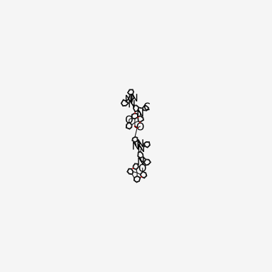 c1ccc2c(c1)Oc1ccccc1C21c2ccc(-c3ccc4nc5n(-c6ccc7c(c6)c6ccccc6n7-c6cccc7c6Oc6ccccc6C76c7ccccc7-c7ccccc76)c6ccccc6n5c4c3)cc2Oc2ccc(-n3c4ccccc4c4cc(-n5c6ccccc6n6c7ccccc7nc56)ccc43)cc21